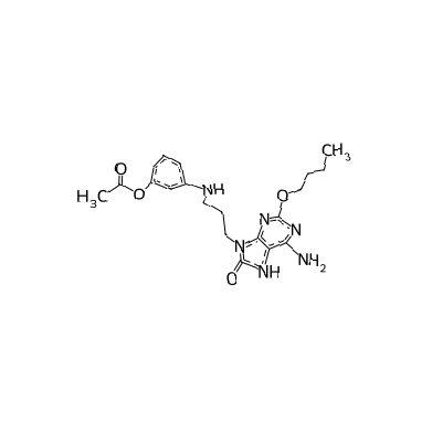 CCCCOc1nc(N)c2[nH]c(=O)n(CCCNc3cccc(OC(C)=O)c3)c2n1